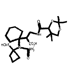 CCCCCCCCC1(N(C(N)=O)C2(C(CNC(=O)C3OC(C)(C)OCC3(C)C)C(=O)O)CCCCC2)CCC1